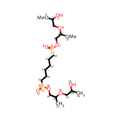 COC(O)COC(CO[PH](=O)CCCCCC[PH](=O)OCC(C)OCC(C)O)OC